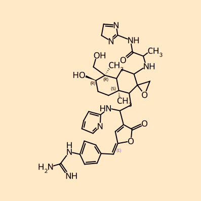 CC(NC1CC2[C@](C)(CC[C@@H](O)[C@@]2(C)CO)C(CC(Nc2ccccn2)C2=C/C(=C\c3ccc(NC(=N)N)cc3)OC2=O)C12CO2)C(=O)NC1=NCC=N1